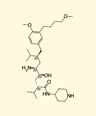 COCCCCc1cc(C[C@@H](C[C@H](N)[C@@H](O)C[C@H](C(=O)NC2CCNCC2)C(C)C)C(C)C)ccc1OC